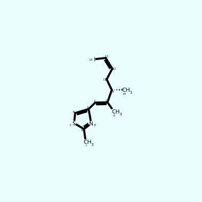 C/C(=C\c1csc(C)n1)[C@@H](C)C/C=C\I